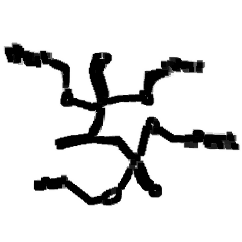 C=C(P(=O)(OCCCCC)OCCCCC)P(=O)(OCCCCC)OCCCCC